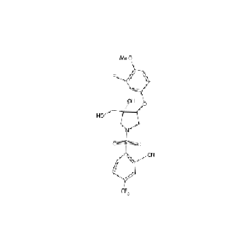 COc1ccc(OC2CN(S(=O)(=O)c3ccc(C(F)(F)F)cc3C#N)C[C@@]2(O)CO)cc1F